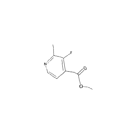 COC(=O)c1ccnc(C)c1F